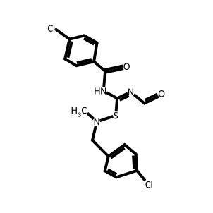 CN(Cc1ccc(Cl)cc1)S/C(=N\C=O)NC(=O)c1ccc(Cl)cc1